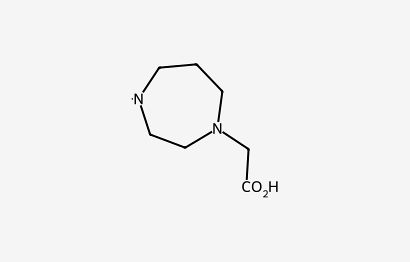 O=C(O)CN1CCC[N]CC1